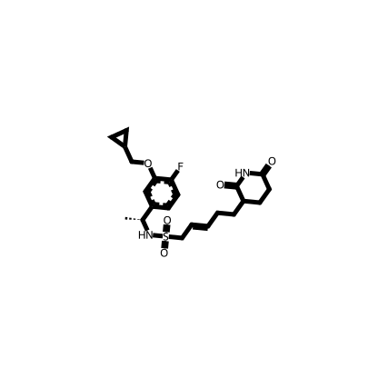 C[C@@H](NS(=O)(=O)C/C=C/CCC1CCC(=O)NC1=O)c1ccc(F)c(OCC2CC2)c1